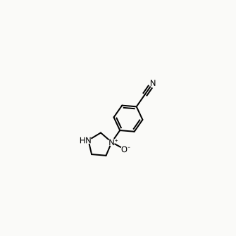 N#Cc1ccc([N+]2([O-])CCNC2)cc1